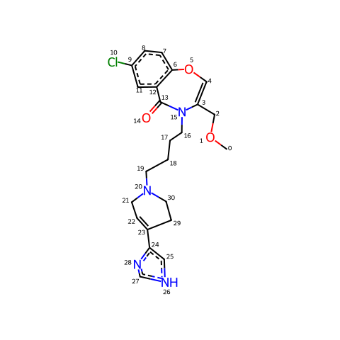 COCC1=COc2ccc(Cl)cc2C(=O)N1CCCCN1CC=C(c2c[nH]cn2)CC1